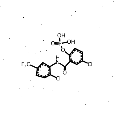 O=C(Nc1cc(C(F)(F)F)ccc1Cl)c1cc(Cl)ccc1OP(=O)(O)O